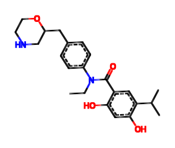 CCN(C(=O)c1cc(C(C)C)c(O)cc1O)c1ccc(CC2CNCCO2)cc1